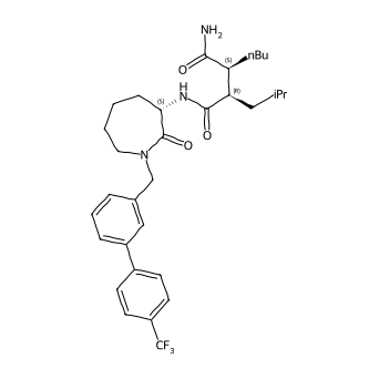 CCCC[C@H](C(N)=O)[C@@H](CC(C)C)C(=O)N[C@H]1CCCCN(Cc2cccc(-c3ccc(C(F)(F)F)cc3)c2)C1=O